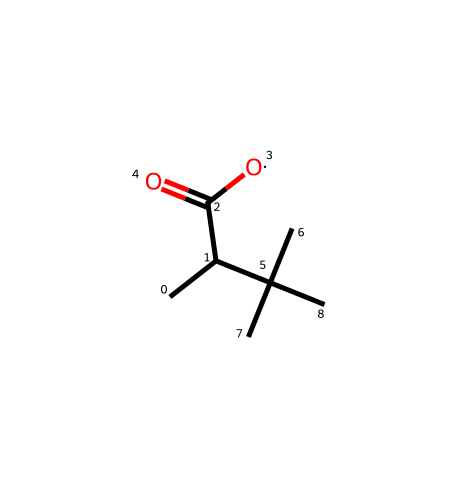 CC(C([O])=O)C(C)(C)C